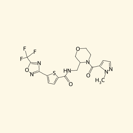 Cn1nccc1C(=O)N1CCOCC1CNC(=O)c1ccc(-c2noc(C(F)(F)F)n2)s1